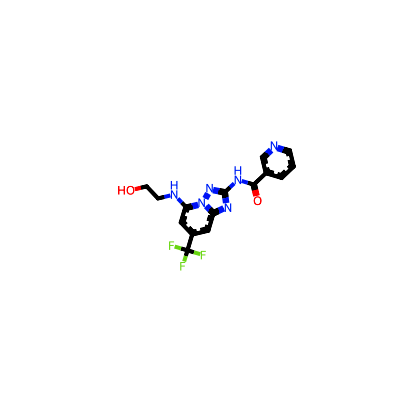 O=C(Nc1nc2cc(C(F)(F)F)cc(NCCO)n2n1)c1cccnc1